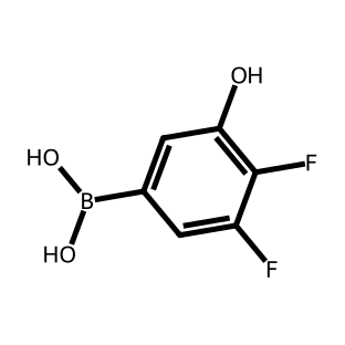 OB(O)c1cc(O)c(F)c(F)c1